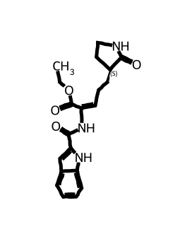 CCOC(=O)C(=CCC[C@H]1CCNC1=O)NC(=O)c1cc2ccccc2[nH]1